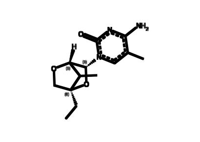 CC[C@]12CO[C@@H](C1C)[C@H](n1cc(C)c(N)nc1=O)O2